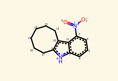 O=[N+]([O-])c1cccc2[nH]c3c(c12)CCCCCC3